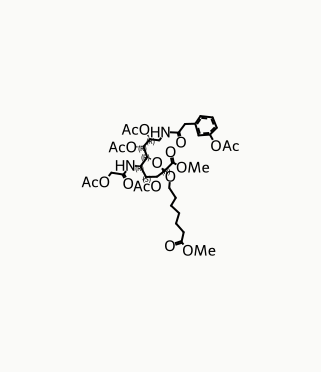 COC(=O)CCCCCCO[C@]1(C(=O)OC)C[C@H](OC(C)=O)[C@@H](NC(=O)COC(C)=O)[C@H]([C@H](OC(C)=O)[C@@H](CNC(=O)Cc2cccc(OC(C)=O)c2)OC(C)=O)O1